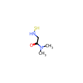 CN(C)C(=O)CNS